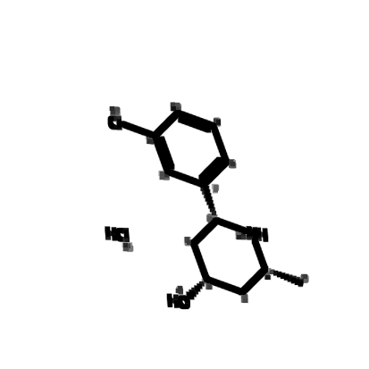 C[C@@H]1C[C@H](O)C[C@H](c2cccc(Cl)c2)N1.Cl